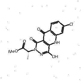 COC(=O)[C@@H](C)n1nc(O)c2[nH]c3cc(Cl)ccc3c(=O)c2c1=O